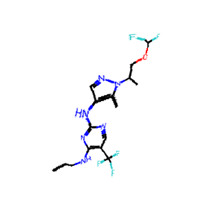 CCNc1nc(Nc2cnn(C(C)COC(F)F)c2C)ncc1C(F)(F)F